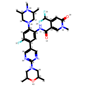 CC1CN(c2ncc(-c3cc(NC(=O)c4cn(C)c(=O)cc4C(F)F)c(N4CC(C)N(C)C(C)C4)cc3F)cn2)CC(C)O1